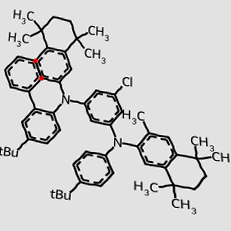 Cc1cc2c(cc1N(c1ccc(C(C)(C)C)cc1)c1cc(Cl)cc(N(c3ccc4c(c3)C(C)(C)CCC4(C)C)c3ccc(C(C)(C)C)cc3-c3ccccc3)c1)C(C)(C)CCC2(C)C